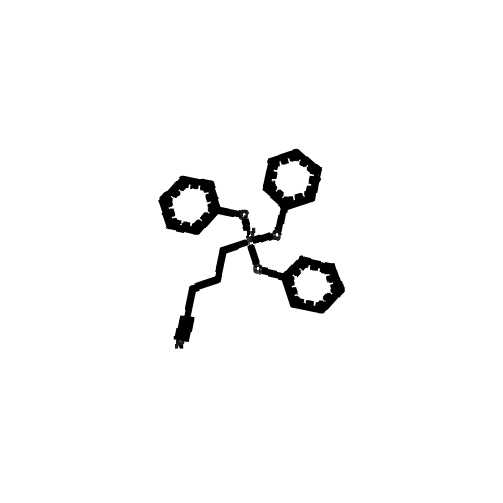 N#CCCC[PH](Oc1ccccc1)(Oc1ccccc1)Oc1ccccc1